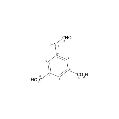 O=CNc1cc(C(=O)O)cc(C(=O)O)c1